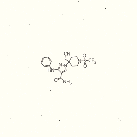 N#CCC1(n2cc(C(N)=O)c(Nc3ccccc3)n2)CCN(S(=O)(=O)C(F)(F)F)CC1